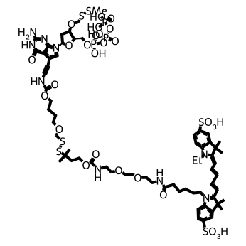 CCN1\C(=C/C=C/C=C/C2=[N+](CCCCCC(=O)NCCOCCOCCNC(=O)OCCC(C)(C)SSCOCCCCOC(=O)NC#Cc3cn([C@H]4CC(OCSSC)[C@@H](COP(=O)(O)OP(=O)(O)OP(=O)(O)O)O4)c4nc(N)[nH]c(=O)c34)c3ccc(S(=O)(=O)O)cc3C2(C)C)C(C)(C)c2cc(S(=O)(=O)O)ccc21